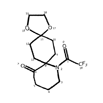 O=C(N1CCCC(=O)C12CCC1(CC2)OCCO1)C(F)(F)F